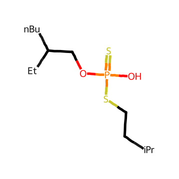 CCCCC(CC)COP(O)(=S)SCCC(C)C